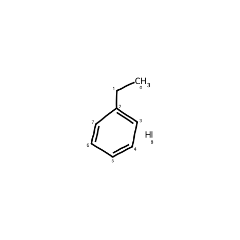 CCc1ccccc1.I